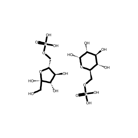 O=P(O)(O)OC[C@H]1O[C@H](O)[C@H](O)[C@@H](O)[C@@H]1O.O=P(O)(O)OC[C@H]1O[C@](O)(CO)[C@@H](O)[C@@H]1O